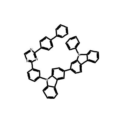 c1ccc(-c2ccc(-c3ncnc(-c4cccc(-n5c6ccccc6c6cc(-c7ccc8c9ccccc9n(-c9ccccc9)c8c7)ccc65)c4)n3)cc2)cc1